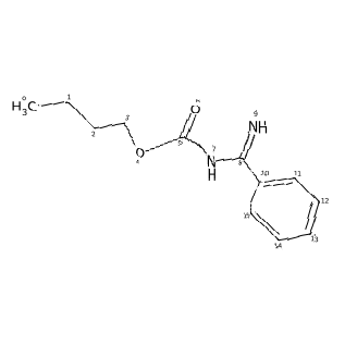 CCCCOC(=O)NC(=N)c1cc[c]cc1